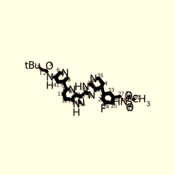 CC(C)(C)CC(=O)Nc1cncc(-c2ccc3[nH]nc(-c4nc5c(-c6cc(F)cc(CNS(C)(=O)=O)c6)ccnc5[nH]4)c3n2)c1